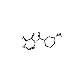 BN1CCCC(c2ncc3c(=O)[nH]cnn23)C1